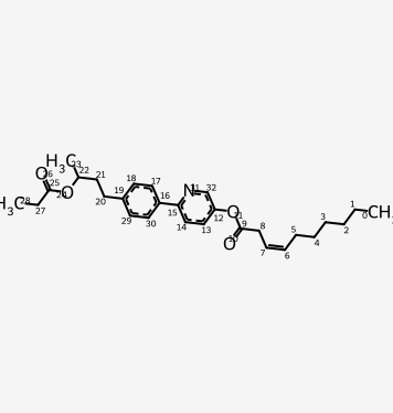 CCCCCC/C=C\CC(=O)Oc1ccc(-c2ccc(CCC(C)OC(=O)CC)cc2)nc1